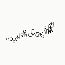 O=C(O)NC[C@H]1CN(c2ccc(N3CCN(C(=O)CNC(=O)c4nnc5cnccn45)CC3)c(F)c2)C(=O)O1